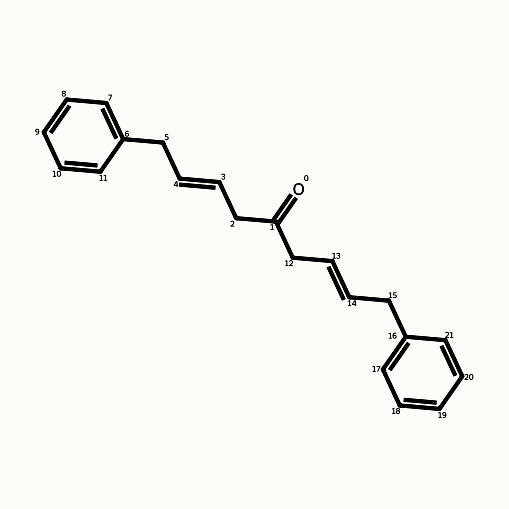 O=C(CC=CCc1ccccc1)CC=CCc1ccccc1